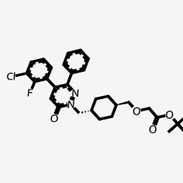 CC(C)(C)OC(=O)COC[C@H]1CC[C@H](Cn2nc(-c3ccccc3)c(-c3cccc(Cl)c3F)cc2=O)CC1